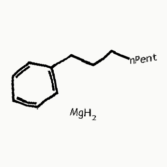 CCCCCCCCc1c[c]ccc1.[MgH2]